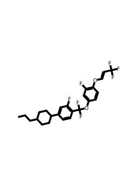 CCCC1CCC(c2ccc(C(F)(F)Oc3ccc(O/C=C/C(F)(F)F)c(F)c3)c(F)c2)CC1